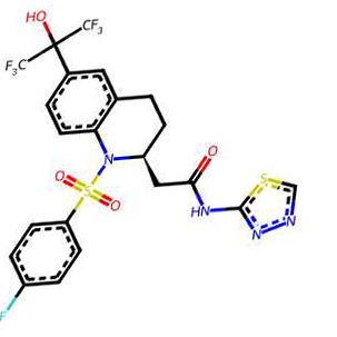 O=C(C[C@@H]1CCc2cc(C(O)(C(F)(F)F)C(F)(F)F)ccc2N1S(=O)(=O)c1ccc(F)cc1)Nc1nncs1